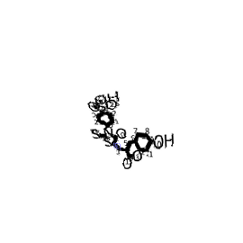 O=C1/C(=C\c2cc3ccc(O)cc3oc2=O)SC(=S)N1c1ccc(S(=O)(=O)O)cc1